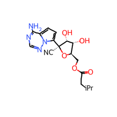 CC(C)CC(=O)OC[C@H]1O[C@@](C#N)(c2ccc3c(N)ncnn23)[C@H](O)[C@@H]1O